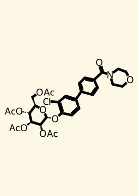 CC(=O)OC[C@H]1O[C@H](Oc2ccc(-c3ccc(C(=O)N4CCOCC4)cc3)cc2Cl)[C@@H](OC(C)=O)[C@@H](OC(C)=O)[C@@H]1OC(C)=O